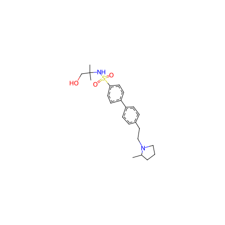 CC1CCCN1CCc1ccc(-c2ccc(S(=O)(=O)NC(C)(C)CO)cc2)cc1